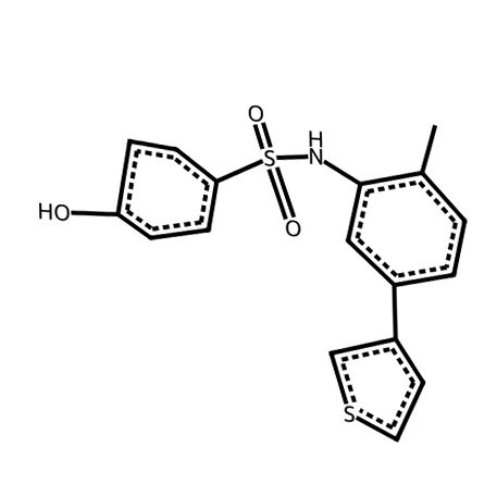 Cc1ccc(-c2ccsc2)cc1NS(=O)(=O)c1ccc(O)cc1